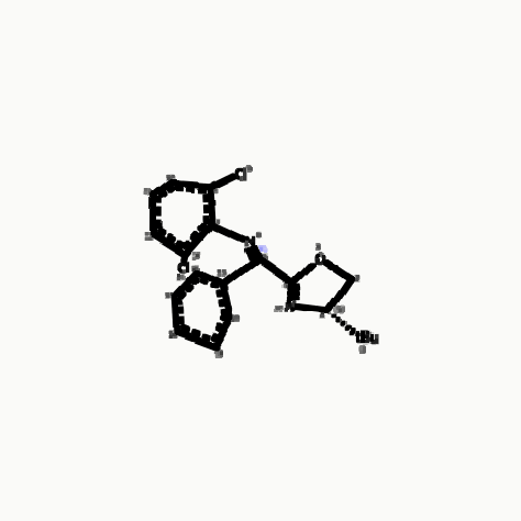 CC(C)(C)[C@H]1COC(/C(=N/c2c(Cl)cccc2Cl)c2ccccc2)=N1